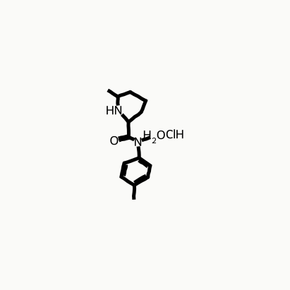 Cc1ccc(N(C)C(=O)C2CCCC(C)N2)cc1.Cl.O